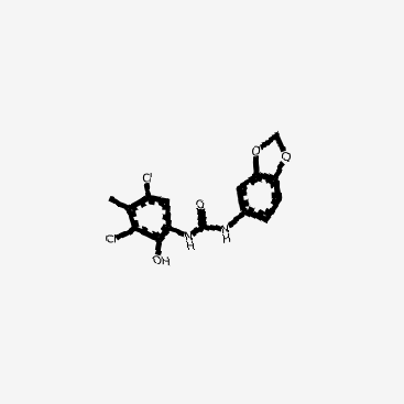 Cc1c(Cl)cc(NC(=O)Nc2ccc3c(c2)OCO3)c(O)c1Cl